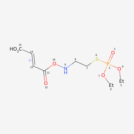 CCOP(=O)(OCC)SCCNOC(=O)/C=C/C(=O)O